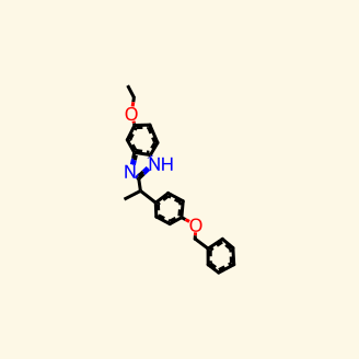 CCOc1ccc2[nH]c(C(C)c3ccc(OCc4ccccc4)cc3)nc2c1